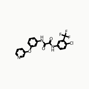 O=C(Nc1cccc(Oc2cccnc2)c1)C(=O)Nc1ccc(Cl)c(C(F)(F)F)c1